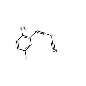 C#CO/B=N/c1cc(F)ccc1[N+](=O)[O-]